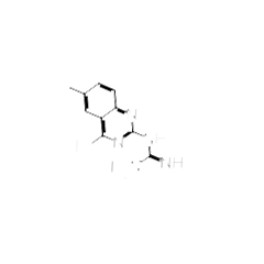 CCc1nc(NC(=N)N)nc2ccc(C)cc12